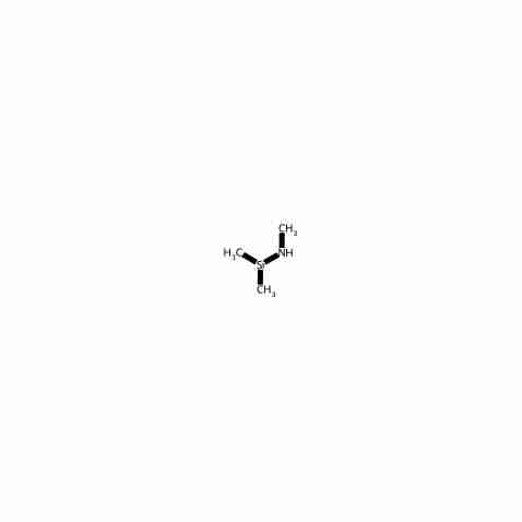 CN[Si](C)C